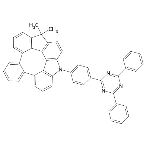 CC1(C)c2cccc3c4ccccc4c4cccc5c4c4c(c1ccc4n5-c1ccc(-c4nc(-c5ccccc5)nc(-c5ccccc5)n4)cc1)c23